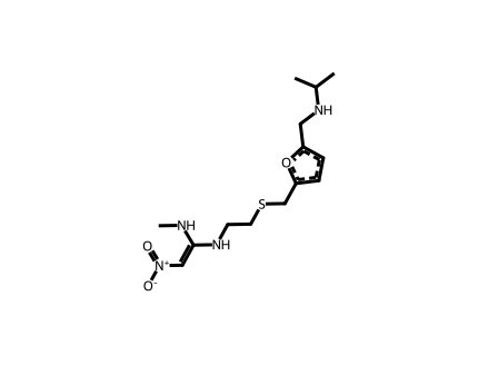 CNC(=C[N+](=O)[O-])NCCSCc1ccc(CNC(C)C)o1